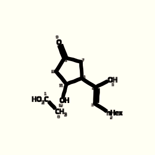 CC(=O)O.CCCCCCC=C(O)C1CC(=O)CC1O